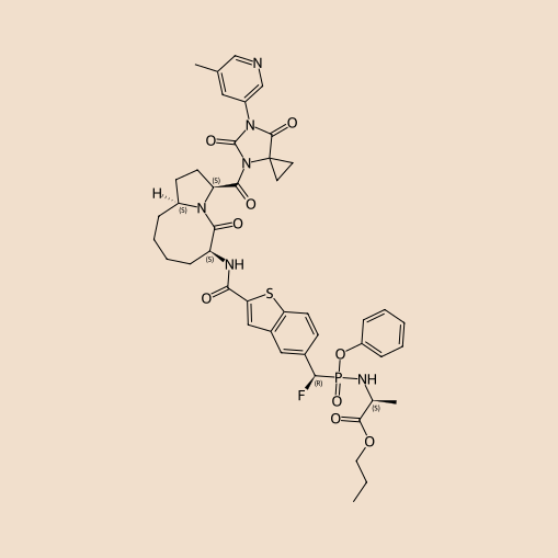 CCCOC(=O)[C@H](C)NP(=O)(Oc1ccccc1)[C@@H](F)c1ccc2sc(C(=O)N[C@H]3CCCC[C@H]4CC[C@@H](C(=O)N5C(=O)N(c6cncc(C)c6)C(=O)C56CC6)N4C3=O)cc2c1